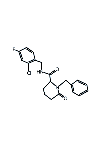 O=C(NCc1ccc(F)cc1Cl)C1CCCC(=O)N1Cc1ccccc1